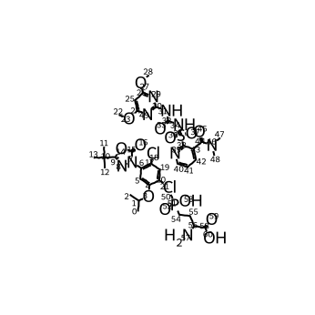 CC(C)Oc1cc(-n2nc(C(C)(C)C)oc2=O)c(Cl)cc1Cl.COc1cc(OC)nc(NC(=O)NS(=O)(=O)c2ncccc2C(=O)N(C)C)n1.CP(=O)(O)CCC(N)C(=O)O